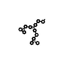 CC1C=CC=C(c2cccc(-c3ccc(N(c4ccc(C5=CC(c6ccc7c8ccccc8n(C8=CC=CCC8)c7c6)=CCC5)cc4)c4ccc(-c5cccc(-n6c7c(c8ccccc86)CCC=C7)c5)cc4)cc3)c2)C1